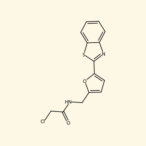 O=C(CCl)NCc1ccc(-c2nc3ccccc3s2)o1